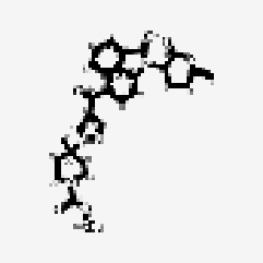 C=C1CCC(N2C(=O)c3cccc4c(C(=O)c5cnn(C6(C)CCN(C(=O)OC(C)(C)C)CC6)c5)ccc2c34)C(=O)N1